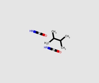 CC(C)C(C)C.N=C=O.N=C=O